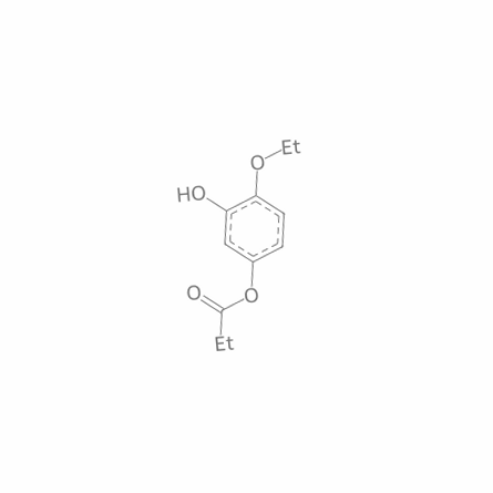 CCOc1ccc(OC(=O)CC)cc1O